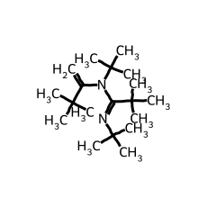 C=C(N(/C(=N/C(C)(C)C)C(C)(C)C)C(C)(C)C)C(C)(C)C